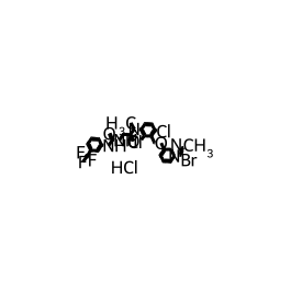 Cc1nc2c(OCc3c(Cl)ccc(N(C)C(=O)CNC(=O)Nc4cccc(C(F)(F)F)c4)c3Cl)cccn2c1Br.Cl